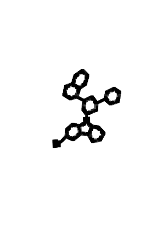 Brc1ccc2c(c1)c1ccccc1n2-c1cc(-c2ccccc2)cc(-c2cccc3ccccc23)c1